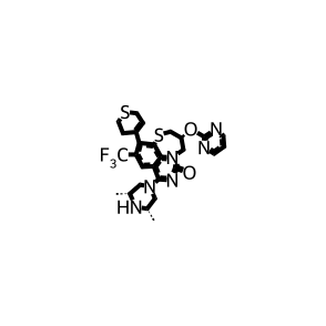 C[C@@H]1CN(c2nc(=O)n3c4c(c(C5=CCSCC5)c(C(F)(F)F)cc24)SC[C@@H](Oc2ncccn2)C3)C[C@H](C)N1